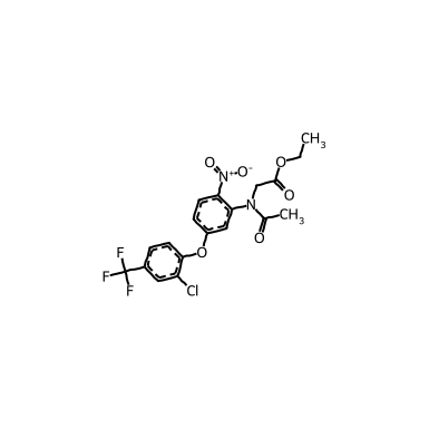 CCOC(=O)CN(C(C)=O)c1cc(Oc2ccc(C(F)(F)F)cc2Cl)ccc1[N+](=O)[O-]